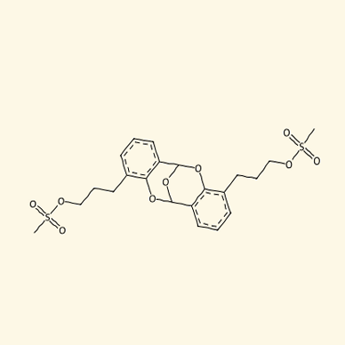 CS(=O)(=O)OCCCc1cccc2c1OC1OC2Oc2c(CCCOS(C)(=O)=O)cccc21